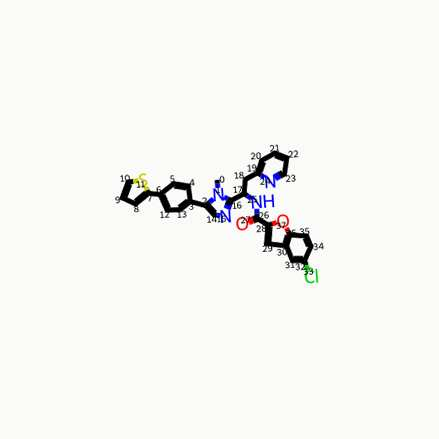 Cn1c(-c2ccc(-c3cccs3)cc2)cnc1C(Cc1ccccn1)NC(=O)c1cc2cc(Cl)ccc2o1